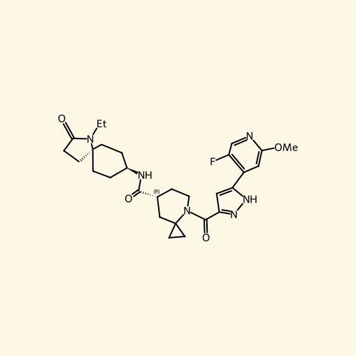 CCN1C(=O)CC[C@]12CC[C@H](NC(=O)[C@@H]1CCN(C(=O)c3cc(-c4cc(OC)ncc4F)[nH]n3)C3(CC3)C1)CC2